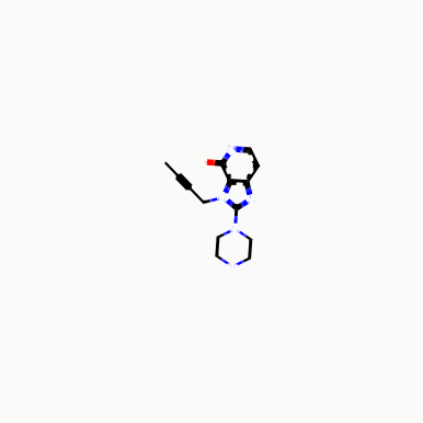 CC#CCn1c(N2CCNCC2)nc2cc[nH]c(=O)c21